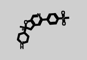 C[C@]1(C2CCNCC2)Cc2cc(-c3ccc(S(C)(=O)=O)cc3)ncc2O1